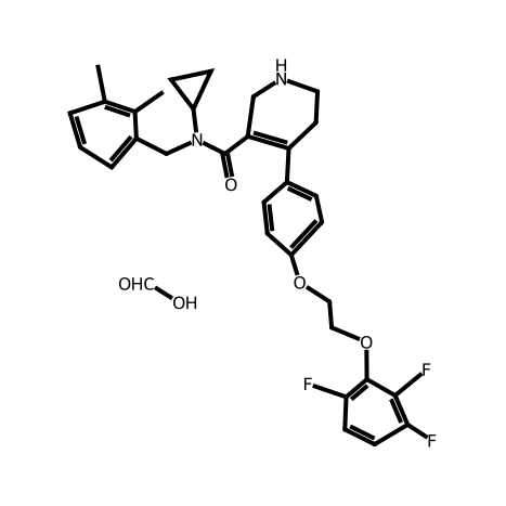 Cc1cccc(CN(C(=O)C2=C(c3ccc(OCCOc4c(F)ccc(F)c4F)cc3)CCNC2)C2CC2)c1C.O=CO